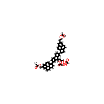 CC(=O)OCCCC1(COC(=O)O)c2cc(-c3ccc4ccc5cc(CCOC(C)=O)cc6ccc3c4c56)ccc2-c2ccc(-c3ccc4ccc5cc(COC(C)=O)cc6ccc3c4c56)cc21